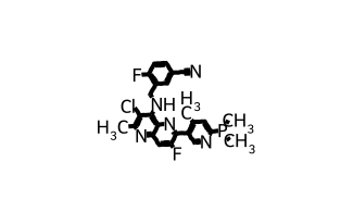 Cc1cc(P(C)C)ncc1-c1nc2c(NCc3cc(C#N)ccc3F)c(Cl)c(C)nc2cc1F